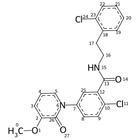 COc1cccn(-c2ccc(Cl)c(C(=O)NCCc3ccccc3Cl)c2)c1=O